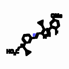 COc1ccc(F)c(-n2nnc(/C=C/c3cccc([C@@H](CC(=O)O)C4CC4)c3)c2C2CC2)c1